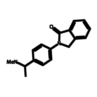 CNC(C)c1ccc(N2Cc3ccccc3C2=O)cc1